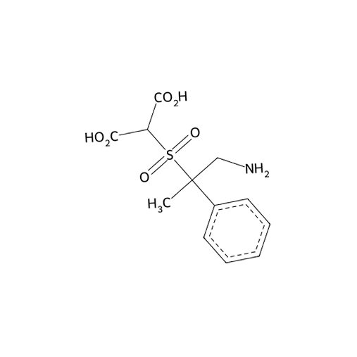 CC(CN)(c1ccccc1)S(=O)(=O)C(C(=O)O)C(=O)O